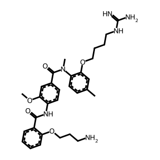 COc1cc(C(=O)N(C)c2ccc(C)cc2OCCCCNC(=N)N)ccc1NC(=O)c1ccccc1OCCCN